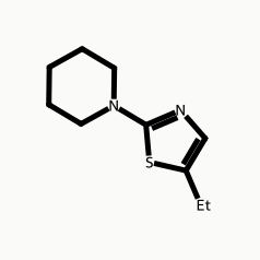 CCc1cnc(N2CCCCC2)s1